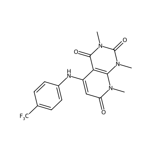 Cn1c(=O)c2c(Nc3ccc(C(F)(F)F)cc3)cc(=O)n(C)c2n(C)c1=O